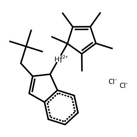 CC1=C(C)[C](C)([Hf+2][CH]2C(CC(C)(C)C)=Cc3ccccc32)C(C)=C1C.[Cl-].[Cl-]